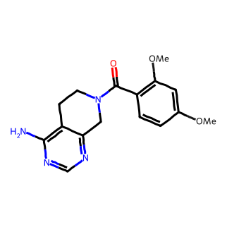 COc1ccc(C(=O)N2CCc3c(N)ncnc3C2)c(OC)c1